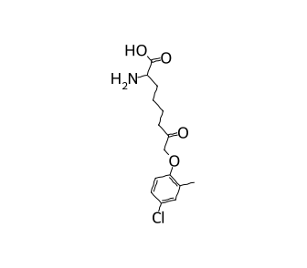 Cc1cc(Cl)ccc1OCC(=O)CCCCC(N)C(=O)O